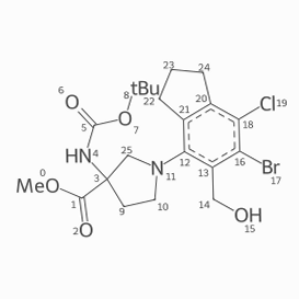 COC(=O)C1(NC(=O)OC(C)(C)C)CCN(c2c(CO)c(Br)c(Cl)c3c2CCC3)C1